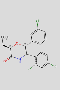 O=C(O)C[C@H]1O[C@H](c2cccc(Cl)c2)C(c2ccc(Cl)cc2F)NC1=O